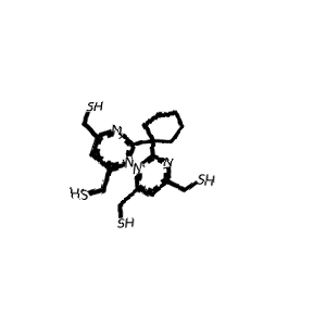 SCc1cc(CS)nc(C2(c3nc(CS)cc(CS)n3)CCCCC2)n1